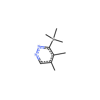 Cc1cnnc([Si](C)(C)C)c1C